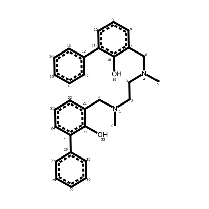 CN(CCN(C)Cc1cccc(-c2ccccc2)c1O)Cc1cccc(-c2ccccc2)c1O